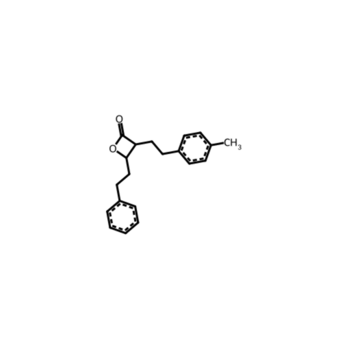 Cc1ccc(CCC2C(=O)OC2CCc2ccccc2)cc1